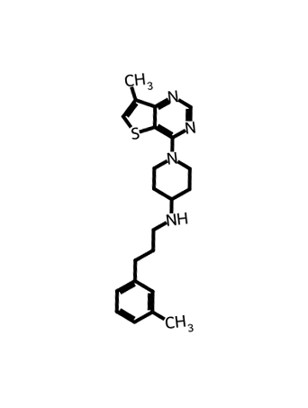 Cc1cccc(CCCNC2CCN(c3ncnc4c(C)csc34)CC2)c1